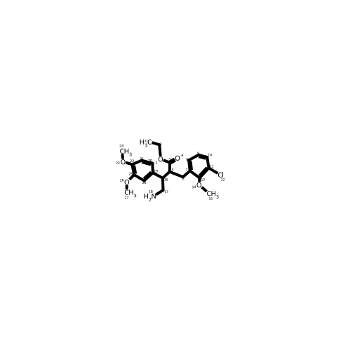 CCOC(=O)C(Cc1cccc(Cl)c1OC)C(CN)c1ccc(OC)c(OC)c1